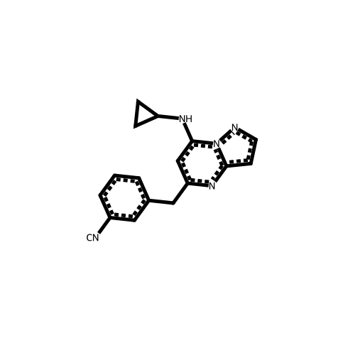 [C-]#[N+]c1cccc(Cc2cc(NC3CC3)n3nccc3n2)c1